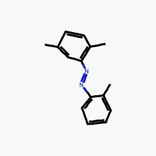 Cc1ccc(C)c(N=Nc2cc[c]cc2C)c1